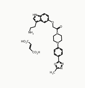 Cc1nnc(-c2ccc(N3CCN(C(=O)COc4ccc5[nH]cc(CCN)c5c4)CC3)cc2)o1.O=C(O)C=CC(=O)O